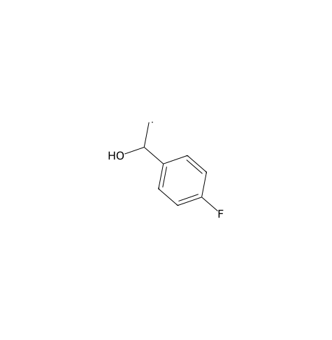 [CH2]C(O)c1ccc(F)cc1